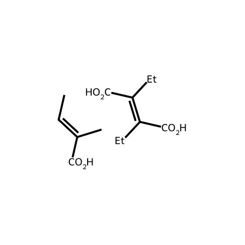 CC=C(C)C(=O)O.CCC(C(=O)O)=C(CC)C(=O)O